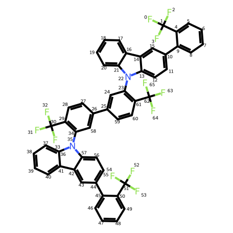 FC(F)(F)c1ccccc1-c1ccc2c(c1)c1ccccc1n2-c1cc(-c2ccc(C(F)(F)F)c(-n3c4ccccc4c4cc(-c5ccccc5C(F)(F)F)ccc43)c2)ccc1C(F)(F)F